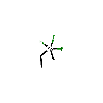 CC[As](C)(F)(F)F